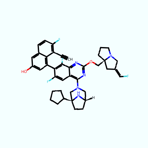 C#Cc1c(F)ccc2cc(O)cc(-c3c(F)cc4c(N5C[C@@H]6CC[C@](C7CCCC7)(C5)N6)nc(OC[C@@]56CCCN5C/C(=C\F)C6)nc4c3F)c12